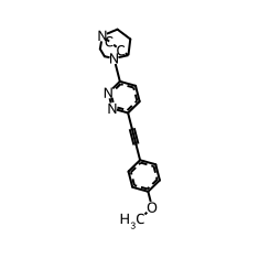 COc1ccc(C#Cc2ccc(N3CCN4CCC3CC4)nn2)cc1